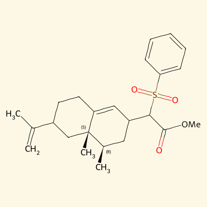 C=C(C)C1CCC2=CC(C(C(=O)OC)S(=O)(=O)c3ccccc3)C[C@@H](C)[C@]2(C)C1